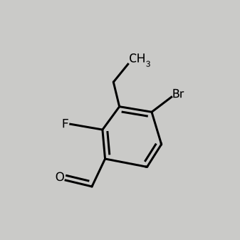 CCc1c(Br)ccc(C=O)c1F